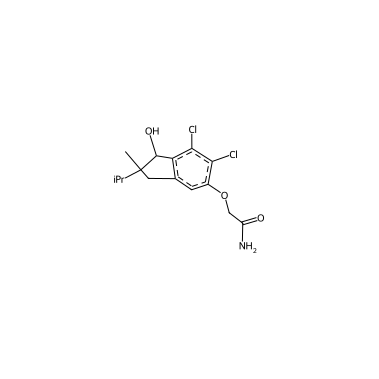 CC(C)C1(C)Cc2cc(OCC(N)=O)c(Cl)c(Cl)c2C1O